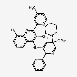 COC1(N2CCOCC2)C=NC(c2cccnc2)C(Nc2c(C)c(-c3cc(C)ccn3)nc3c(Cl)cccc23)=C1